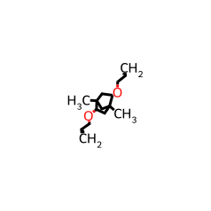 C=CCOC1CC2(C)CC1(C)CC2OCC=C